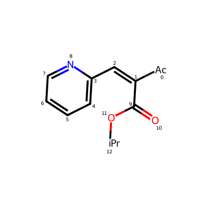 CC(=O)C(=Cc1ccccn1)C(=O)OC(C)C